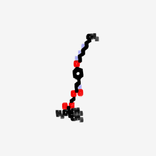 C=C/C=C/C=C/C=C/Oc1ccc(/C=C/C(=O)OCCOC(=O)C(C)(C)CC)cc1